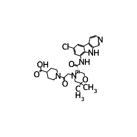 CC1(C)CN(CC(=O)N2CCC(C(=O)O)CC2)[C@H](C(=O)Nc2cc(Cl)cc3c2[nH]c2cnccc23)CO1